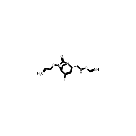 C=CCON1C(=O)N2CC1C(I)=C[C@H]2CBOC=N